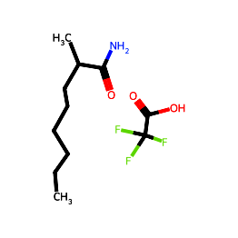 CCCCCCC(C)C(N)=O.O=C(O)C(F)(F)F